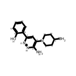 BC1CCN(c2cc(-c3ccccc3O)nnc2N)CC1